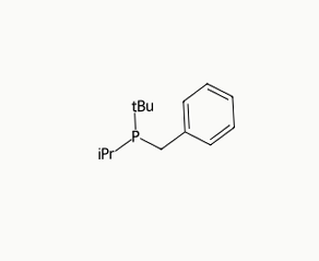 CC(C)P(Cc1ccccc1)C(C)(C)C